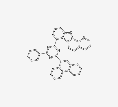 c1ccc(-c2nc(-c3cc4ccccc4c4ccccc34)nc(-c3cccc4oc5c(ccc6cccnc65)c34)n2)cc1